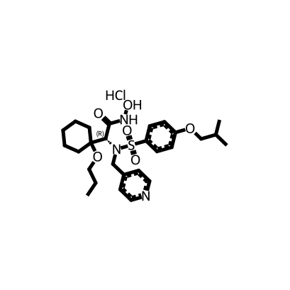 CCCOC1([C@H](C(=O)NO)N(Cc2ccncc2)S(=O)(=O)c2ccc(OCC(C)C)cc2)CCCCC1.Cl